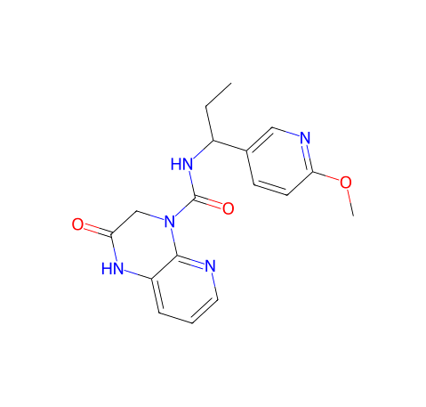 CCC(NC(=O)N1CC(=O)Nc2cccnc21)c1ccc(OC)nc1